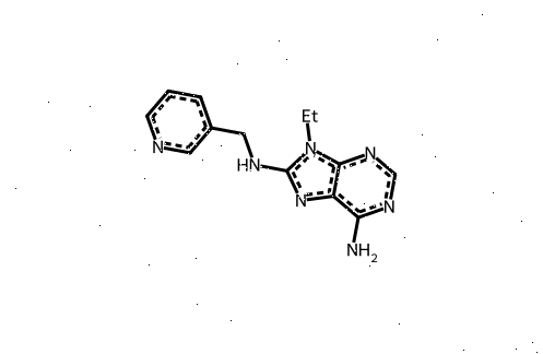 [CH2]Cn1c(NCc2cccnc2)nc2c(N)ncnc21